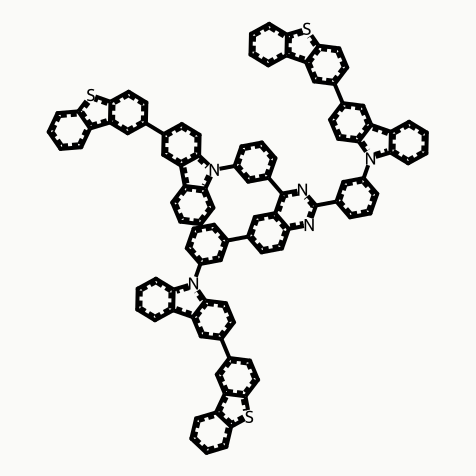 c1cc(-c2ccc3nc(-c4cccc(-n5c6ccccc6c6cc(-c7ccc8sc9ccccc9c8c7)ccc65)c4)nc(-c4cccc(-n5c6ccccc6c6cc(-c7ccc8sc9ccccc9c8c7)ccc65)c4)c3c2)cc(-n2c3ccccc3c3cc(-c4ccc5sc6ccccc6c5c4)ccc32)c1